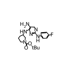 CC(C)(C)OC(=O)N1CCCC(Nc2nc(Nc3ccc(F)cc3)ncc2N)C1